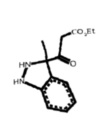 CCOC(=O)CC(=O)C1(C)NNc2ccccc21